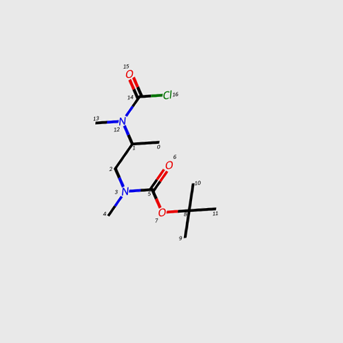 CC(CN(C)C(=O)OC(C)(C)C)N(C)C(=O)Cl